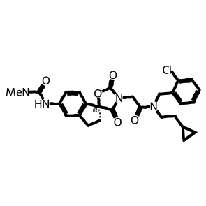 CNC(=O)Nc1ccc2c(c1)CC[C@@]21OC(=O)N(CC(=O)N(CCC2CC2)Cc2ccccc2Cl)C1=O